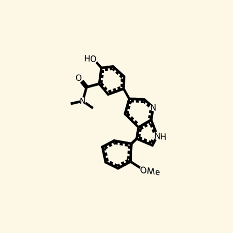 COc1ccccc1-c1c[nH]c2ncc(-c3ccc(O)c(C(=O)N(C)C)c3)cc12